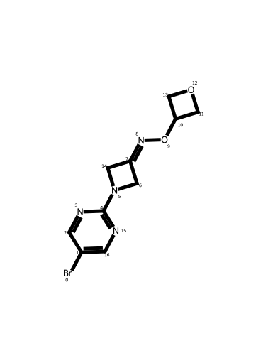 Brc1cnc(N2CC(=NOC3COC3)C2)nc1